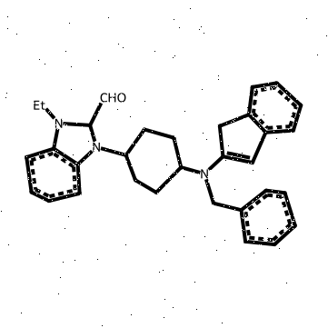 CCN1c2ccccc2N(C2CCC(N(Cc3ccccc3)C3=Cc4ccccc4C3)CC2)C1C=O